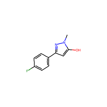 Cn1nc(-c2ccc(F)cc2)cc1O